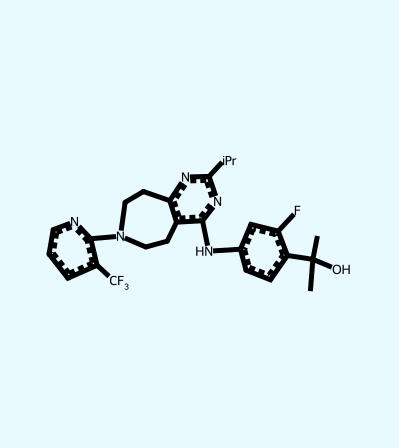 CC(C)c1nc2c(c(Nc3ccc(C(C)(C)O)c(F)c3)n1)CCN(c1ncccc1C(F)(F)F)CC2